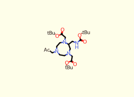 CC(=O)CN1CCN(CC(=O)OC(C)(C)C)CC(CNC(=O)OC(C)(C)C)N(CC(=O)OC(C)(C)C)CC1